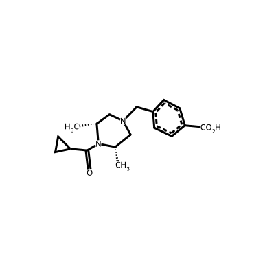 C[C@@H]1CN(Cc2ccc(C(=O)O)cc2)C[C@H](C)N1C(=O)C1CC1